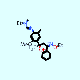 CCO/N=C(/CC(O)(c1cc(C)c(N=CN(C)CC)cc1OC)C(F)(F)F)c1ccccc1